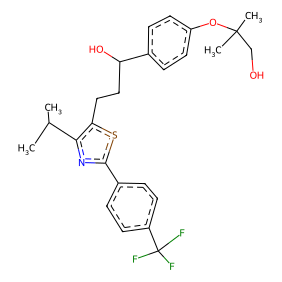 CC(C)c1nc(-c2ccc(C(F)(F)F)cc2)sc1CCC(O)c1ccc(OC(C)(C)CO)cc1